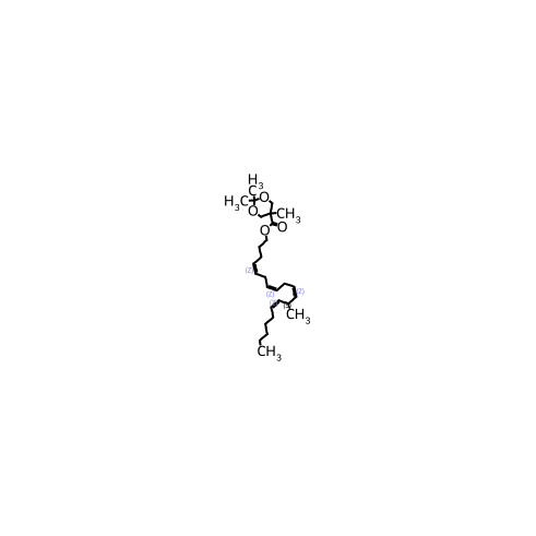 CCCCC/C=C\[C@H](C)/C=C\C/C=C\C/C=C\CCCOC(=O)C1(C)COC(C)(C)OC1